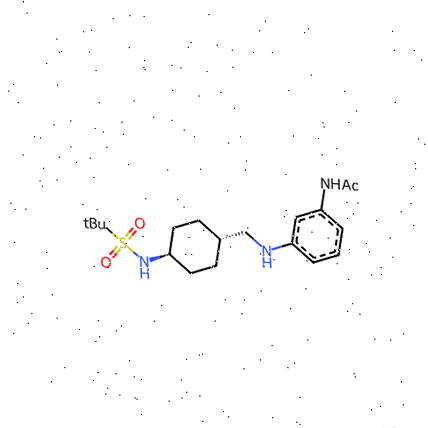 CC(=O)Nc1cccc(NC[C@H]2CC[C@H](NS(=O)(=O)C(C)(C)C)CC2)c1